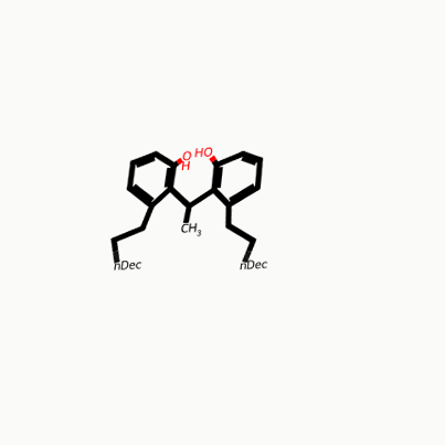 CCCCCCCCCCCCc1cccc(O)c1C(C)c1c(O)cccc1CCCCCCCCCCCC